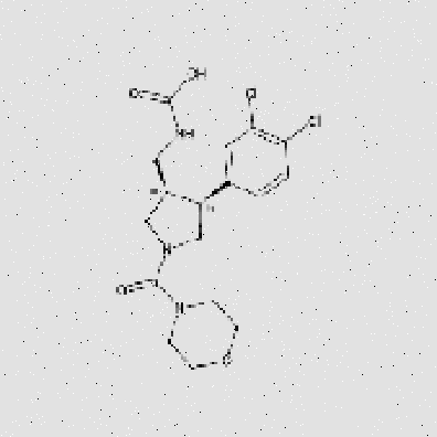 O=C(O)NC[C@@H]1CN(C(=O)N2CCOCC2)C[C@@H]1c1ccc(Cl)c(Cl)c1